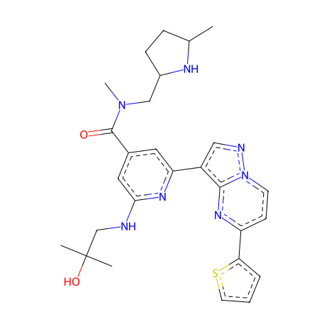 CC1CCC(CN(C)C(=O)c2cc(NCC(C)(C)O)nc(-c3cnn4ccc(-c5cccs5)nc34)c2)N1